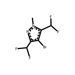 Cn1nc(C(F)F)c(Br)c1C(F)F